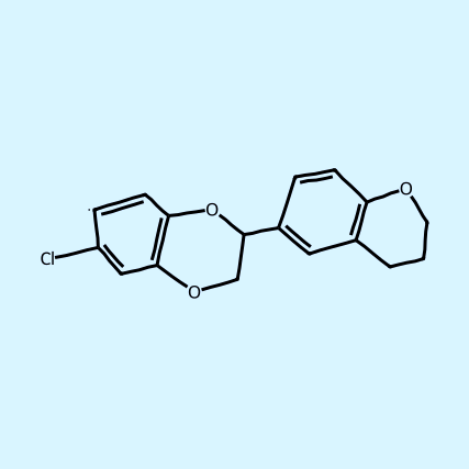 Clc1[c]cc2c(c1)OCC(c1ccc3c(c1)CCCO3)O2